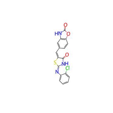 O=C1N/C(=N\c2ccccc2Cl)S/C1=C/c1ccc2oc(=O)[nH]c2c1